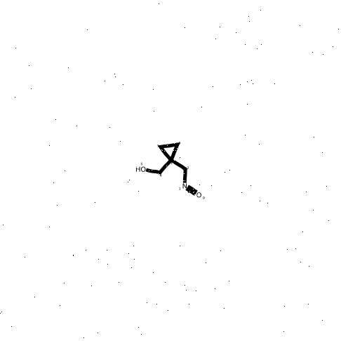 O=NCC1(CO)CC1